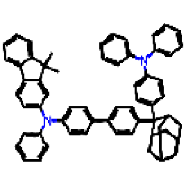 CC1(C)c2ccccc2-c2ccc(N(c3ccccc3)c3ccc(-c4ccc(C5(c6ccc(N(c7ccccc7)c7ccccc7)cc6)C6CC7CC(C6)CC5C7)cc4)cc3)cc21